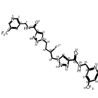 O=C(NCc1cncc(C(F)(F)F)c1)c1cn(CCC(F)Cn2cc(C(=O)NCc3cc(C(F)(F)F)ccn3)nn2)nn1